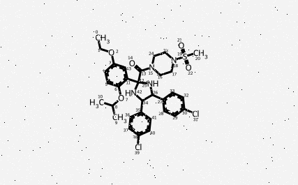 CCOc1ccc(OC(C)C)c(C2(C(=O)N3CCN(S(C)(=O)=O)CC3)NC(c3ccc(Cl)cc3)C(c3ccc(Cl)cc3)N2)c1